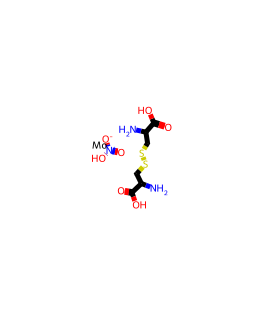 NC(CSSCC(N)C(=O)O)C(=O)O.O=[N+]([O-])O.[Mo]